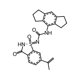 C=C(C)c1ccc2c(c1)[S@@](=O)(=NC(=O)Nc1c3c(cc4c1CCC4)CCC3)NC2=O